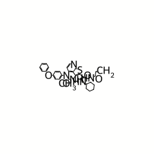 C=CC(=O)N[C@@H]1CCCC[C@H]1NC(=O)c1sc2nccc3c2c1NC(=O)N3c1ccc(Oc2ccccc2)cc1C